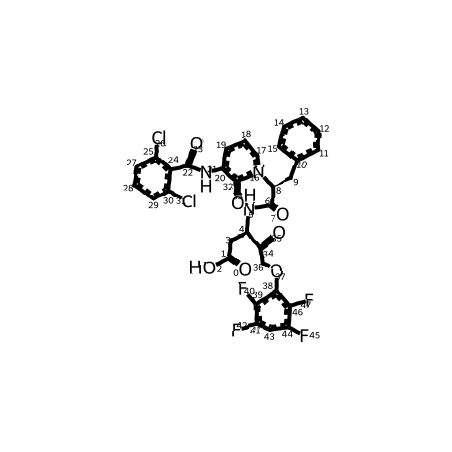 O=C(O)CC(NC(=O)[C@H](Cc1ccccc1)n1cccc(NC(=O)c2c(Cl)cccc2Cl)c1=O)C(=O)COc1c(F)c(F)cc(F)c1F